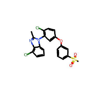 Cc1nc2c(Cl)cccc2n1-c1cc(Oc2cccc(S(C)(=O)=O)c2)ccc1Cl